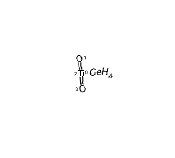 [GeH4].[O]=[Ti]=[O]